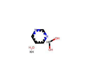 O.OBO.[KH].c1cncnc1